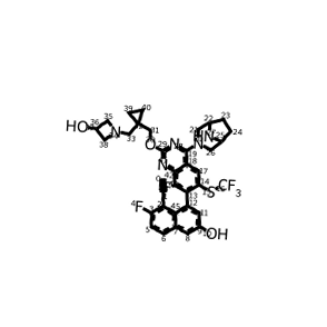 C#Cc1c(F)ccc2cc(O)cc(-c3c(SC(F)(F)F)cc4c(N5CC6CCC(C5)N6)nc(OCC5(CN6CC(O)C6)CC5)nc4c3F)c12